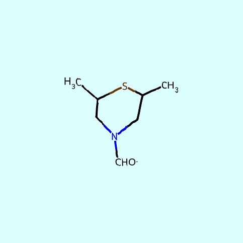 CC1CN([C]=O)CC(C)S1